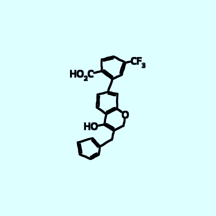 O=C(O)c1ccc(C(F)(F)F)cc1-c1ccc2c(c1)OCC(Cc1ccccc1)=C2O